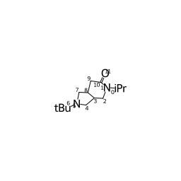 CC(C)N1CC2CN(C(C)(C)C)CC2CC1=O